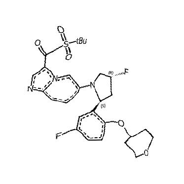 CC(C)(C)S(=O)(=O)C(=O)c1cnc2ccc(N3C[C@H](F)C[C@H]3c3cc(F)ccc3OC3CCOCC3)cn12